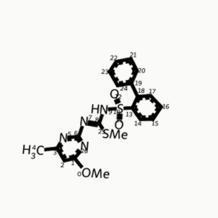 COc1cc(C)nc(/N=C(/NS(=O)(=O)c2ccccc2-c2ccccc2)SC)n1